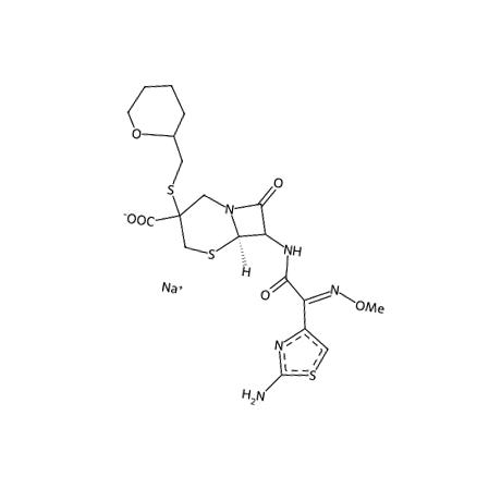 CON=C(C(=O)NC1C(=O)N2CC(SCC3CCCCO3)(C(=O)[O-])CS[C@H]12)c1csc(N)n1.[Na+]